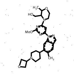 COc1nc(N2CCOC(C)C2CO)cc(-n2ncc3cc(C)c(C4CCN(C5COC5)CC4)cc32)n1